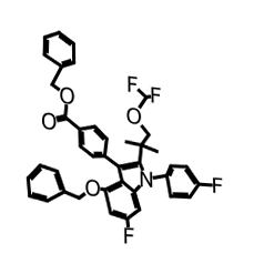 CC(C)(COC(F)F)c1c(-c2ccc(C(=O)OCc3ccccc3)cc2)c2c(OCc3ccccc3)cc(F)cc2n1-c1ccc(F)cc1